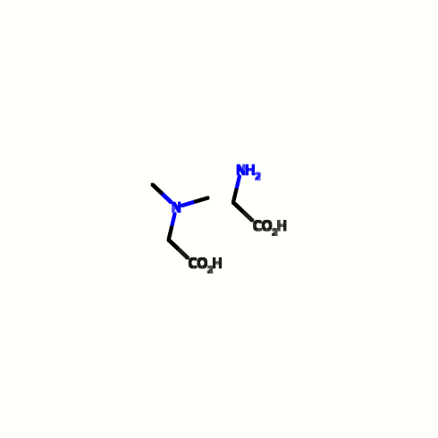 CN(C)CC(=O)O.NCC(=O)O